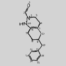 O=CN1CCC2=C(CCC(Cc3ccccc3)C2)N1